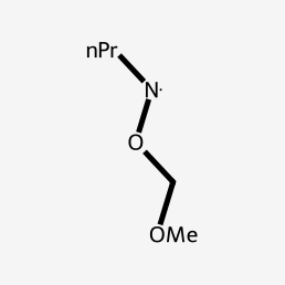 CCC[N]OCOC